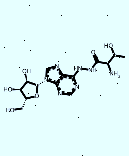 CC(O)C(N)C(=O)NNc1ncnc2c1ncn2[C@@H]1O[C@H](CO)[C@@H](O)[C@H]1O